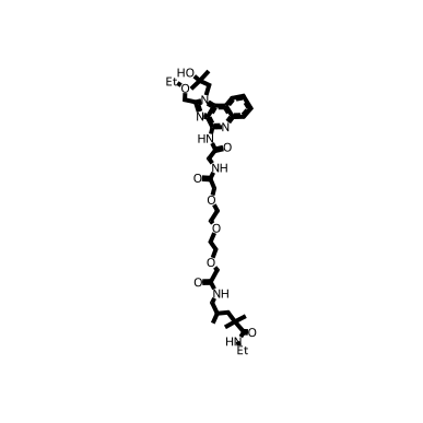 CCNC(=O)C(C)(C)CC(C)CNC(=O)COCCOCCOCC(=O)NCC(=O)Nc1nc2ccccc2c2c1nc(COCC)n2CC(C)(C)O